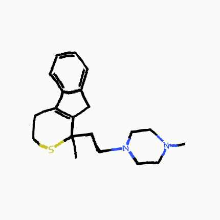 CN1CCN(CCC2(C)SCCC3=C2Cc2ccccc23)CC1